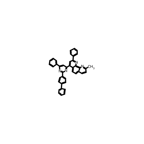 Cc1ccc2ccc3c(-c4cc(-c5ccccc5)nc(-c5ccc(-c6ccccc6)cc5)n4)cc(-c4ccccc4)nc3c2n1